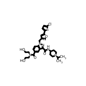 CC(C)N1CCC(NC(=O)c2nn(Cc3cc(-c4ccc(Cl)s4)on3)c3ccc(C(=O)N(CCO)CCO)cc23)CC1